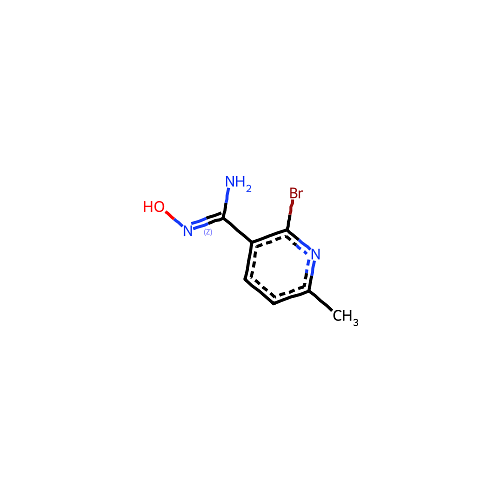 Cc1ccc(/C(N)=N/O)c(Br)n1